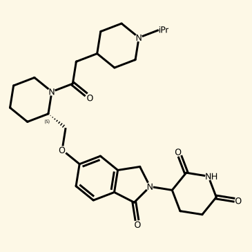 CC(C)N1CCC(CC(=O)N2CCCC[C@H]2COc2ccc3c(c2)CN(C2CCC(=O)NC2=O)C3=O)CC1